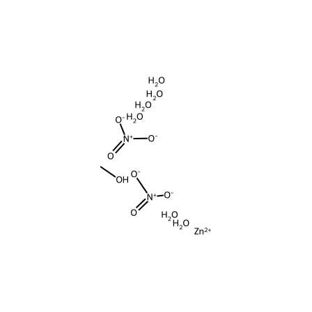 CO.O.O.O.O.O.O.O=[N+]([O-])[O-].O=[N+]([O-])[O-].[Zn+2]